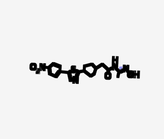 C/C(=N\O)NC(=O)CC1CCC(c2ncc(-c3ccc([N+](=O)[O-])cc3)s2)CC1